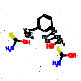 C.CCC.CCC.CO.Cc1ccccc1.NC(O)=S.NC(O)=S